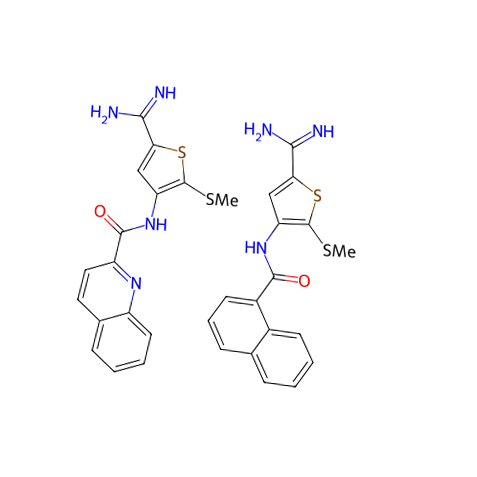 CSc1sc(C(=N)N)cc1NC(=O)c1ccc2ccccc2n1.CSc1sc(C(=N)N)cc1NC(=O)c1cccc2ccccc12